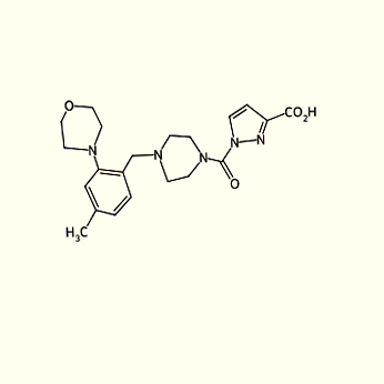 Cc1ccc(CN2CCN(C(=O)n3ccc(C(=O)O)n3)CC2)c(N2CCOCC2)c1